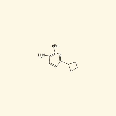 CCCCc1cc(C2CCC2)ccc1N